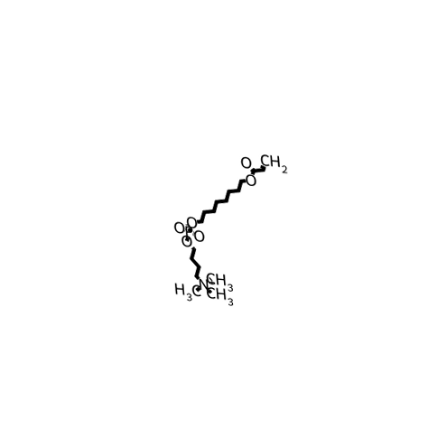 C=CC(=O)OCCCCCCCCOP(=O)([O-])OCCCC[N+](C)(C)C